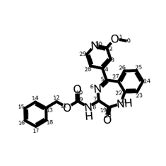 COc1cc(C2=NC(NC(=O)OCc3ccccc3)C(=O)Nc3ccccc32)ccn1